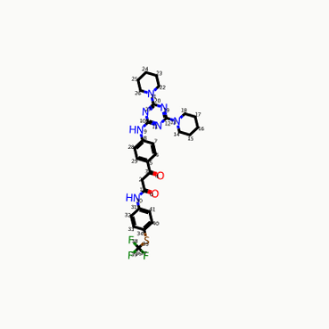 O=C(CC(=O)c1ccc(Nc2nc(N3CCCCC3)nc(N3CCCCC3)n2)cc1)Nc1ccc(SC(F)(F)F)cc1